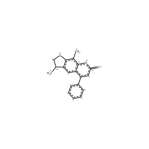 Cc1c2c(cc3c(-c4ccccc4)cc(=O)oc13)C(C)CS2